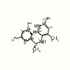 CC1=C(N[C@@H](C)c2cc(F)cc(F)c2)NNC(C(C)C)=C1